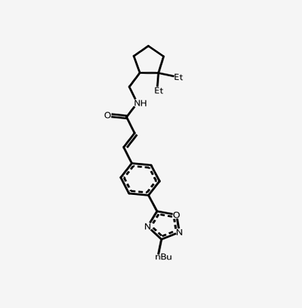 CCCCc1noc(-c2ccc(C=CC(=O)NCC3CCCC3(CC)CC)cc2)n1